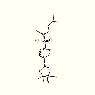 CN(C)CCN(C)S(=O)(=O)c1ccc(B2OC(C)(C)C(C)(C)O2)cc1